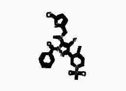 CC1CCN(S(C)(=O)=O)CC1c1nn(C(=O)c2ccccc2)c(N(C)Cc2ccc(Cl)s2)c1F